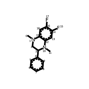 CN1CC(c2ccccc2)N(C)c2cc(F)c(F)cc21